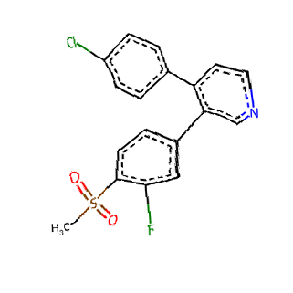 CS(=O)(=O)c1ccc(-c2cnccc2-c2ccc(Cl)cc2)cc1F